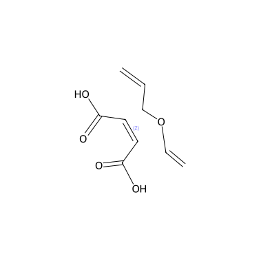 C=CCOC=C.O=C(O)/C=C\C(=O)O